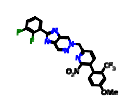 COc1ccc(-c2ccc(Cn3cc4nc(-c5cccc(F)c5F)nc-4cn3)nc2[N+](=O)[O-])c(C(F)(F)F)c1